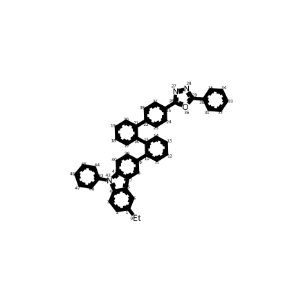 CCc1ccc2c(c1)c1cc(-c3ccccc3-c3ccccc3-c3ccc(-c4nnc(-c5ccccc5)o4)cc3)ccc1n2-c1ccccc1